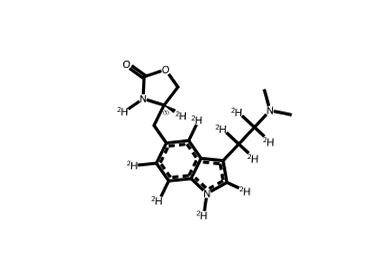 [2H]c1c(C[C@@]2([2H])COC(=O)N2[2H])c([2H])c2c(C([2H])([2H])C([2H])([2H])N(C)C)c([2H])n([2H])c2c1[2H]